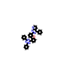 c1ccc(-c2nc(-c3ccccc3)nc(-c3cccc4oc5c(-c6nc(-c7ccccc7)c7cccnc7n6)cccc5c34)n2)cc1